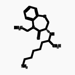 NCCCCCC(N[C@H]1COc2ccccc2N(CC(=O)O)C1=O)C(=O)O